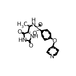 C[C@@H](NS(=O)(=O)c1ccc(Oc2ccncc2)cc1)[C@@H]1NC(=O)NC1=O